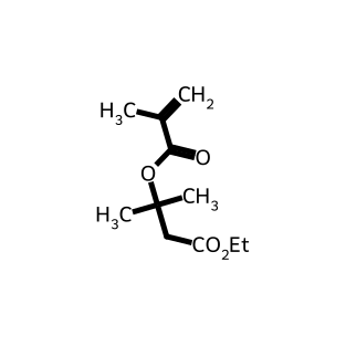 C=C(C)C(=O)OC(C)(C)CC(=O)OCC